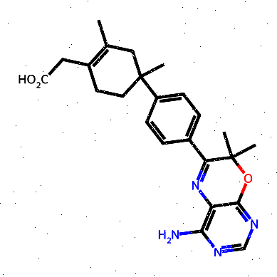 CC1=C(CC(=O)O)CCC(C)(c2ccc(C3=Nc4c(N)ncnc4OC3(C)C)cc2)C1